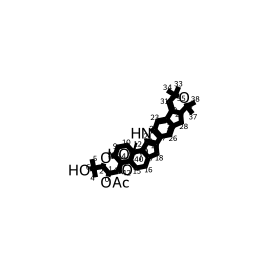 CC(=O)OC1C(C(C)(C)O)OC2CC[C@@]3(C)C(O)(CCC4Cc5c([nH]c6cc7c(cc56)CC5C7=CC(C)(C)OC5(C)C)[C@@]43C)C23OC13